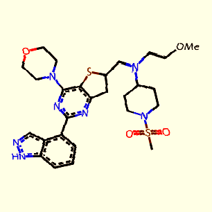 COCCN(CC1Cc2nc(-c3cccc4[nH]ncc34)nc(N3CCOCC3)c2S1)C1CCN(S(C)(=O)=O)CC1